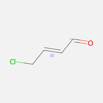 O=[C]/C=C/CCl